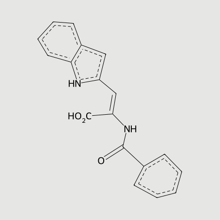 O=C(O)/C(=C\c1cc2ccccc2[nH]1)NC(=O)c1ccccc1